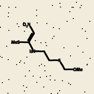 COCSCCNC(=C[N+](=O)[O-])SC